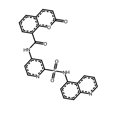 O=C(Nc1ccnc(S(=O)(=O)Nc2cccc3ncccc23)c1)c1cccc2ccc(=O)oc12